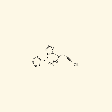 CC#CCC(O)c1cncn1[C@H](C)c1ccccc1